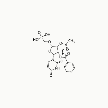 CC(=O)OC1[C@@H](OCP(=O)(O)O)O[C@@H](n2ccc(=O)[nH]c2=O)[C@]1(C)OC(=O)c1ccccc1